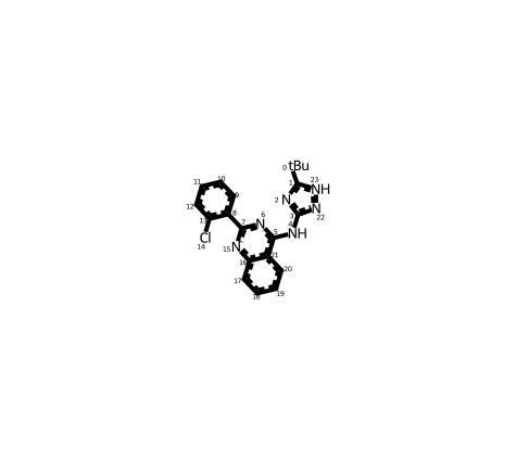 CC(C)(C)c1nc(Nc2nc(-c3ccccc3Cl)nc3ccccc23)n[nH]1